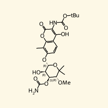 CO[C@@H]1[C@@H](OC(N)=O)[C@@H](O)[C@H](Oc2ccc3c(O)c(NC(=O)OC(C)(C)C)c(=O)oc3c2C)OC1(C)C